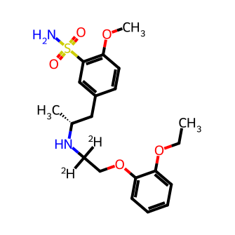 [2H]C([2H])(COc1ccccc1OCC)N[C@H](C)Cc1ccc(OC)c(S(N)(=O)=O)c1